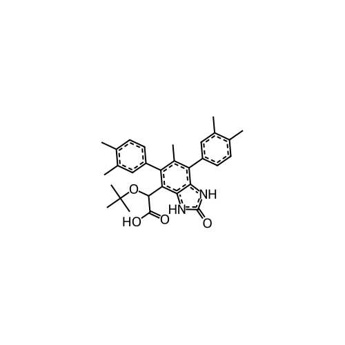 Cc1ccc(-c2c(C)c(-c3ccc(C)c(C)c3)c3[nH]c(=O)[nH]c3c2C(OC(C)(C)C)C(=O)O)cc1C